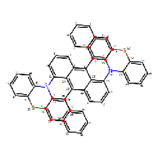 C1=c2ccccc2=C(c2c3cccc(N4c5ccccc5Sc5ccccc54)c3c(-c3cccc4ccccc34)c3cccc(N4c5ccccc5Sc5ccccc54)c23)CC1